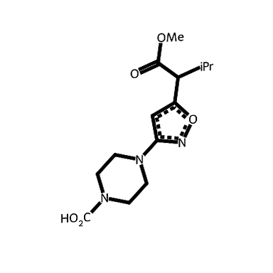 COC(=O)C(c1cc(N2CCN(C(=O)O)CC2)no1)C(C)C